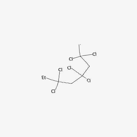 [CH2]C(Cl)(Cl)CC(Cl)(Cl)CC(Cl)(Cl)CC